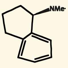 C[N][C@@H]1CCCc2ccccc21